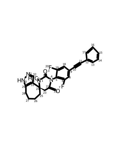 CN1C(=O)N(c2c(F)cc(C#Cc3ccccc3)cc2F)C(=O)C[C@]12CCCCc1[nH]ncc12